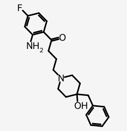 Nc1cc(F)ccc1C(=O)CCCN1CCC(O)(Cc2ccccc2)CC1